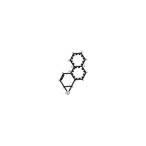 C1=CC2OC2c2ccc3ccccc3c21